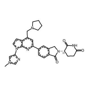 Cn1cnc(-n2ccc3c(CN4CCCC4)cc(-c4ccc5c(c4)CN([C@H]4CCC(=O)NC4=O)C5=O)nc32)c1